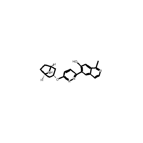 Cc1nccc2cc(-c3ccc(O[C@@H]4C[C@H]5CC[C@@H](C4)N5)nn3)c(O)cc12